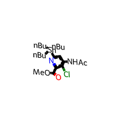 CCC[CH2][Sn]([CH2]CCC)([CH2]CCC)[c]1cc(NC(C)=O)c(Cl)c(C(=O)OC)n1